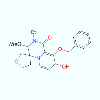 CCN1C(=O)C2=C(OCc3ccccc3)C(O)C=CN2C2(CCOC2)C1OC